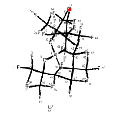 FC(F)(F)C([O][Al-]([O]C(C(F)(F)F)(C(F)(F)F)C(F)(F)F)([O]C(C(F)(F)F)(C(F)(F)F)C(F)(F)F)[O]C(C(F)(F)F)(C(F)(F)F)C(F)(F)F)(C(F)(F)F)C(F)(F)F.[Li+]